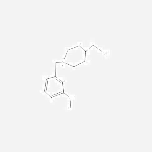 COc1cccc(CN2CCC(CO)CC2)c1